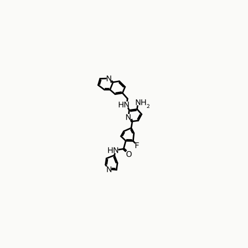 Nc1ccc(-c2ccc(C(=O)Nc3ccncc3)c(F)c2)nc1NCc1ccc2ncccc2c1